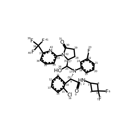 O=C(NC1CC(F)(F)C1)[C@H](c1ccccc1Cl)N(c1cccc(F)c1)C(O)[C@@H]1CCC(=O)N1c1cccc(C(F)(F)F)n1